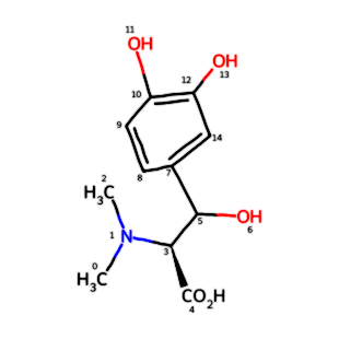 CN(C)[C@H](C(=O)O)C(O)c1ccc(O)c(O)c1